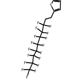 FC(F)(F)C(F)(F)C(F)(F)C(F)(F)C(F)(F)C(F)(F)C(F)(F)C(F)(F)CCc1cccs1